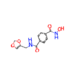 O=C(NO)c1ccc(C(=O)NCC2=COCO2)cc1